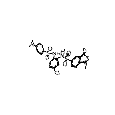 CN(C)c1ccc(S(=O)(=O)Nc2ccc(Cl)cc2NS(=O)(=O)c2ccc3c(c2)c(=O)sn3C)cc1